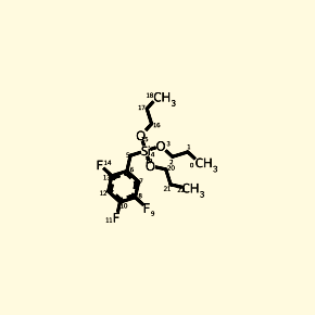 CCCO[Si](Cc1cc(F)c(F)cc1F)(OCCC)OCCC